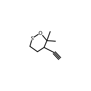 C#CC1CCSOC1(C)C